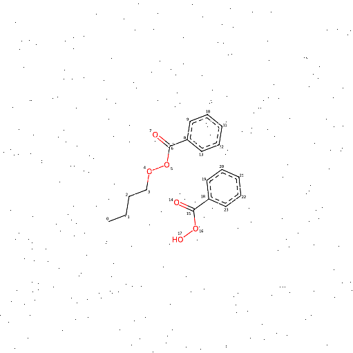 CCCCOOC(=O)c1ccccc1.O=C(OO)c1ccccc1